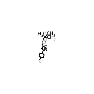 CC(C)(C)C(F)(F)COCc1cc(-c2ccc(Cl)cc2)no1